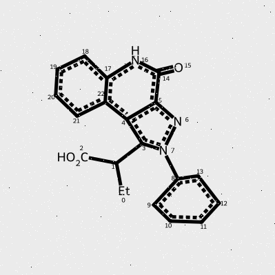 CCC(C(=O)O)c1c2c(nn1-c1ccccc1)c(=O)[nH]c1ccccc12